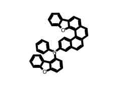 c1ccc(N(c2ccc3c(ccc4ccc5ccc6c7ccccc7oc6c5c43)c2)c2cccc3oc4ccccc4c23)cc1